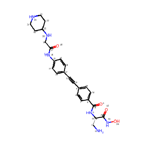 NC[C@H](NC(=O)c1ccc(C#Cc2ccc(NC(=O)CNC3CCNCC3)cc2)cc1)C(=O)NO